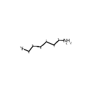 NCCCCCCF